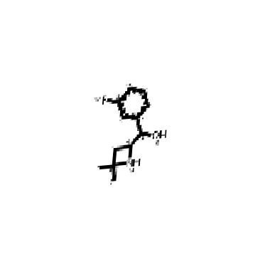 CC1(C)CC(C(O)c2cccc(F)c2)N1